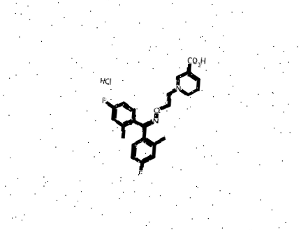 Cc1cc(F)ccc1C(=NOCCN1CCC=C(C(=O)O)C1)c1ccc(F)cc1C.Cl